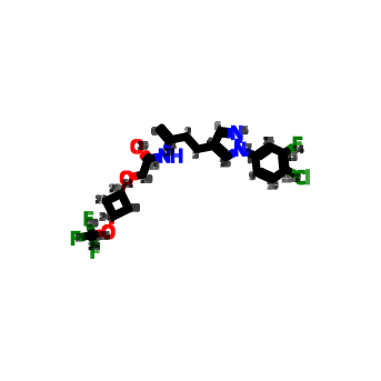 C=C(CCc1cnn(-c2ccc(Cl)c(F)c2)c1)NC(=O)CO[C@H]1C[C@@H](OC(F)(F)F)C1